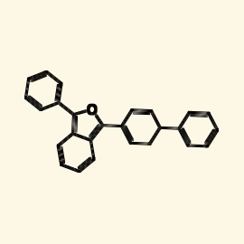 C1=CC(c2ccccc2)CC=C1c1oc(-c2ccccc2)c2ccccc12